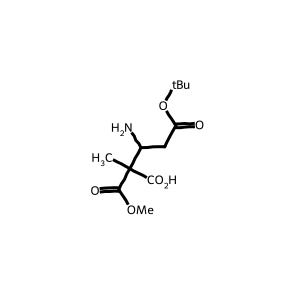 COC(=O)C(C)(C(=O)O)C(N)CC(=O)OC(C)(C)C